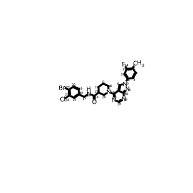 Cc1ccc(-n2cc3c(N4CCCC(C(=O)NCc5ccc(Br)c(Cl)c5)C4)ncnc3n2)cc1F